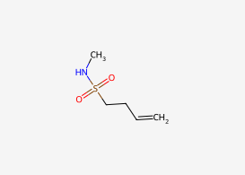 C=CCCS(=O)(=O)NC